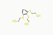 SCCSc1cccc(SCCS)c1SCCS